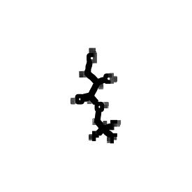 O=C(OCC(F)(F)F)C(Cl)CCl